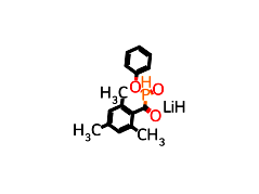 Cc1cc(C)c(C(=O)[PH](=O)Oc2ccccc2)c(C)c1.[LiH]